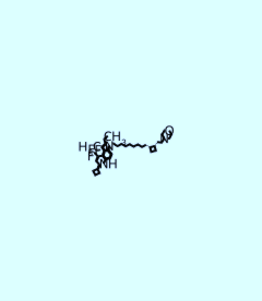 CCc1c(C)c2c3c(ccc2n1CCCCCCCCC[C@H]1CC[C@H]1CCN1CCOCC1)NC(=C1CCC1)C=C3C(F)(F)F